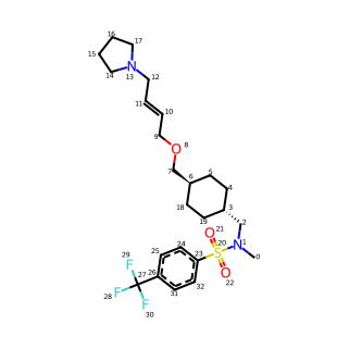 CN(C[C@H]1CC[C@H](COCC=CCN2CCCC2)CC1)S(=O)(=O)c1ccc(C(F)(F)F)cc1